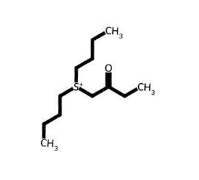 CCCC[S+](CCCC)CC(=O)CC